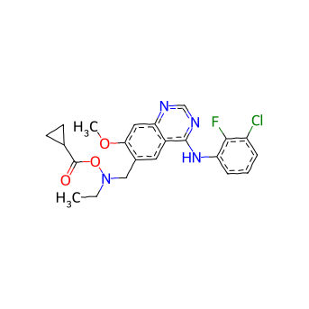 CCN(Cc1cc2c(Nc3cccc(Cl)c3F)ncnc2cc1OC)OC(=O)C1CC1